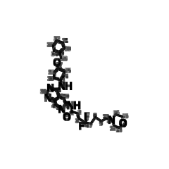 O=C(C=CC(F)(F)CCCCN1CCOCC1)Nc1cc2c(Nc3ccc(OCc4ccccc4)cc3)ncnc2cn1